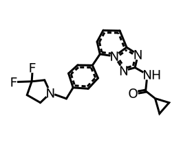 O=C(Nc1nc2cccc(-c3ccc(CN4CCC(F)(F)C4)cc3)n2n1)C1CC1